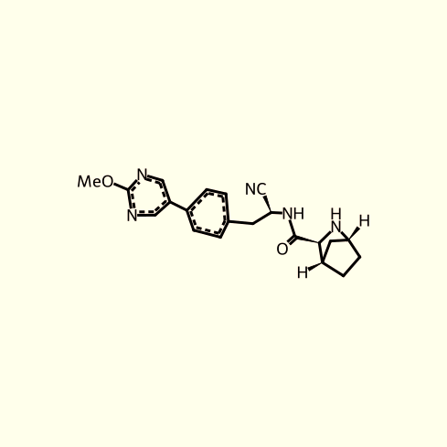 COc1ncc(-c2ccc(C[C@@H](C#N)NC(=O)[C@H]3N[C@@H]4CC[C@H]3C4)cc2)cn1